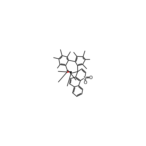 Cc1c(C)c(C)c2c(c1C)-c1c(C)c(C)c(C)c(C)c1C1(C=CS(=O)(=O)c3c1ccc1ccccc31)c1c(C)c(C)c(C)c(C)c1-2